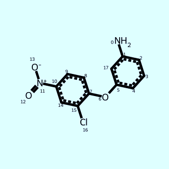 Nc1cccc(Oc2ccc([N+](=O)[O-])cc2Cl)c1